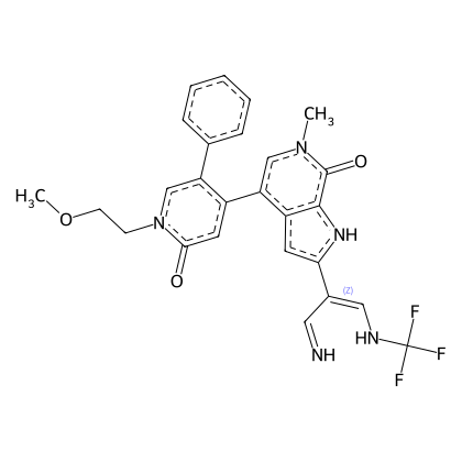 COCCn1cc(-c2ccccc2)c(-c2cn(C)c(=O)c3[nH]c(/C(C=N)=C/NC(F)(F)F)cc23)cc1=O